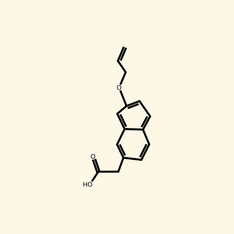 C=CCOc1ccc2ccc(CC(=O)O)cc2c1